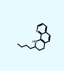 CCCCC1CCc2ccc3cccnc3c2N1